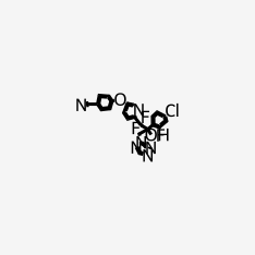 N#Cc1ccc(Oc2ccc(C(F)(F)C(O)(Cn3ncnn3)c3ccc(Cl)cc3F)nc2)cc1